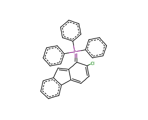 ClC1=CC=C2C(=Cc3ccccc32)C1=P(c1ccccc1)(c1ccccc1)c1ccccc1